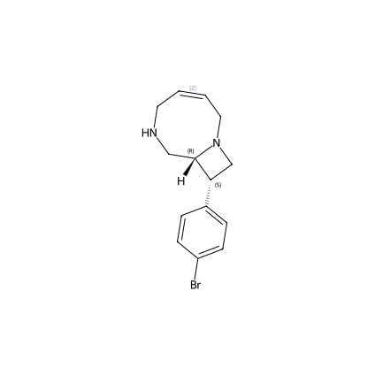 Brc1ccc([C@H]2CN3C/C=C\CNC[C@@H]23)cc1